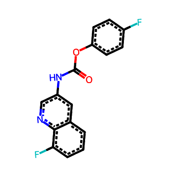 O=C(Nc1cnc2c(F)cccc2c1)Oc1ccc(F)cc1